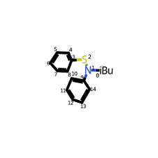 CCC(C)N(Sc1ccccc1)c1ccccc1